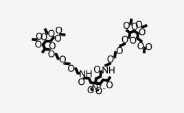 CC(=O)CCC(CCC(=O)NCCOCCOCCOC1OC(COC(C)=O)C(OC(C)=O)C(OC(C)=O)C1C)(CCC(=O)NCCOCCOCCOC1OC(COC(C)=O)C(OC(C)=O)C(OC(C)=O)C1C)[N+](=O)[O-]